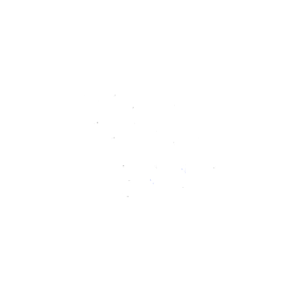 CCc1c(C)c2c3c(cc(C)n3CCN2C=O)c1-c1ccc(Cl)cc1